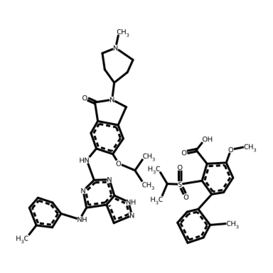 COc1ccc(-c2ccccc2C)c(S(=O)(=O)C(C)C)c1C(=O)O.Cc1cccc(Nc2nc(Nc3cc4c(cc3OC(C)C)CN(C3CCN(C)CC3)C4=O)nc3[nH]ncc23)c1